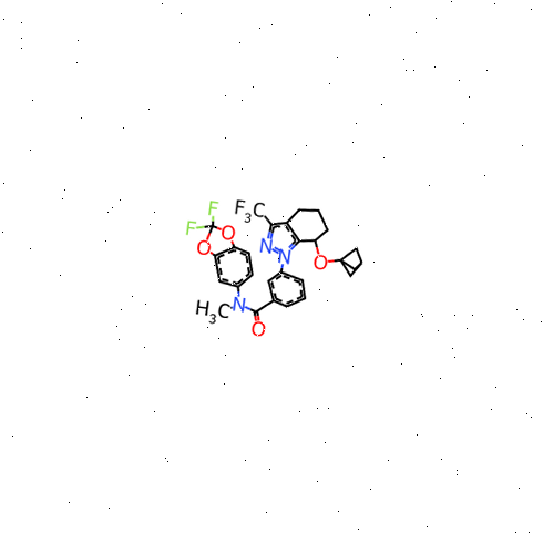 CN(C(=O)c1cccc(-n2nc(C(F)(F)F)c3c2C(OC24CC(C2)C4)CCC3)c1)c1ccc2c(c1)OC(F)(F)O2